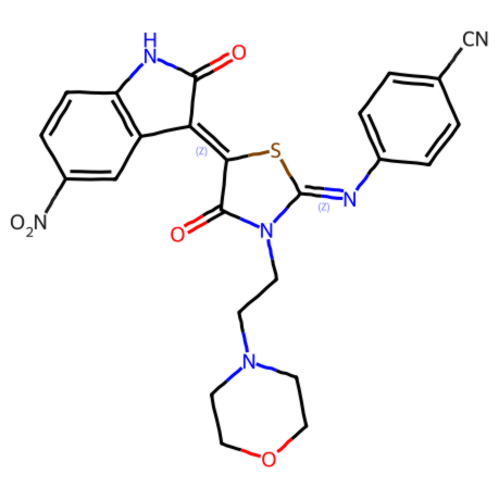 N#Cc1ccc(/N=C2\S/C(=C3\C(=O)Nc4ccc([N+](=O)[O-])cc43)C(=O)N2CCN2CCOCC2)cc1